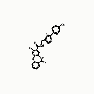 N#Cc1ccc(-c2ncc(CNC(=O)c3cc4c(cc3Cl)Oc3ccccc3C(=O)N4)s2)cc1